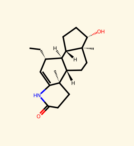 CC[C@H]1C=C2NC(=O)CC[C@]2(C)[C@H]2CC[C@]3(C)[C@@H](O)CC[C@H]3[C@H]12